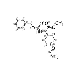 COC(=O)C(NC(=O)OCc1ccccc1)=C1CCB(OCN)CC1